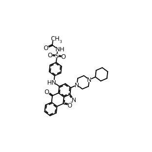 CC(=O)NS(=O)(=O)c1ccc(Nc2cc(N3CCN(C4CCCCC4)CC3)c3noc4c3c2C(=O)c2ccccc2-4)cc1